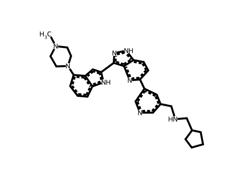 CN1CCN(c2cccc3[nH]c(-c4n[nH]c5ccc(-c6cncc(CNCC7CCCC7)c6)nc45)cc23)CC1